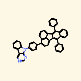 c1ccc(-c2c3c(c(-c4ccccc4)c4ccccc24)-c2ccc(-c4ccc(-n5c6ccccc6c6cncnc65)cc4)c4cccc-3c24)cc1